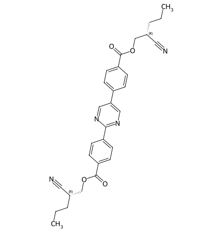 CCC[C@H](C#N)COC(=O)c1ccc(-c2cnc(-c3ccc(C(=O)OC[C@@H](C#N)CCC)cc3)nc2)cc1